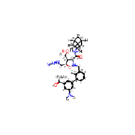 CNC(=O)c1cc(-c2cccc(CN3O[C@@H](CN=[N+]=[N-])[C@@H]([C@H](C)O)[C@H]3C(=O)N[C@H]3C[C@H]4C[C@@H]([C@@H]3C)C4(C)C)c2C)cc(N(C)C)c1